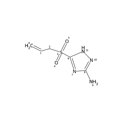 C=CCS(=O)(=O)c1nc(N)n[nH]1